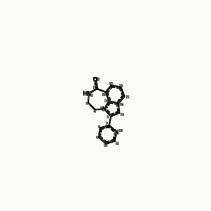 O=C1NCCn2c(-c3ccccn3)cc3cccc1c32